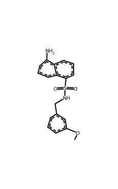 COc1cccc(CNS(=O)(=O)c2cccc3c(N)cccc23)c1